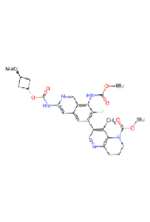 CO[C@H]1C[C@H](OC(=O)Nc2cc3cc(-c4cnc5c(c4C)N(C(=O)OC(C)(C)C)CCC5)c(F)c(NC(=O)OC(C)(C)C)c3cn2)C1